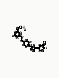 COc1cc(CCN2CCN(c3nc(-c4cncc(Cl)c4)ns3)CC2)ccn1